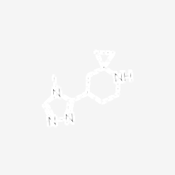 Cn1cnnc1C1CCNC2(CC2)C1